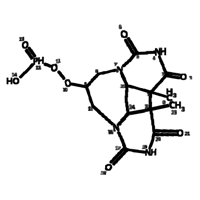 CC12C(=O)NC(=O)N3CC(OO[PH](=O)O)CN4C(=O)NC(=O)C1(C)C4C32